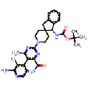 Cc1nc(N2CCC3(CC2)Cc2ccccc2[C@H]3NC(=O)OC(C)(C)C)nc(C(N)=O)c1-c1ccnc(N)c1Cl